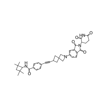 CC1(C)CC(C)(C)C1NC(=O)c1ccc(C#CC2CC3(C2)CN(c2ccc4c(c2)C(=O)N(C2CCC(=O)NC2=O)C4=O)C3)cc1